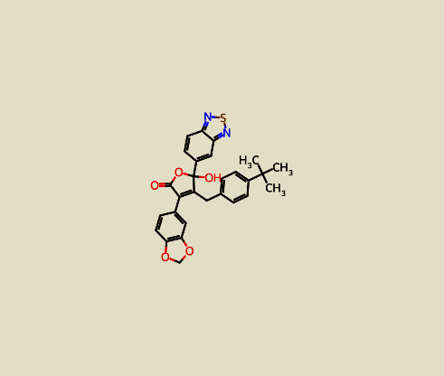 CC(C)(C)c1ccc(CC2=C(c3ccc4c(c3)OCO4)C(=O)OC2(O)c2ccc3nsnc3c2)cc1